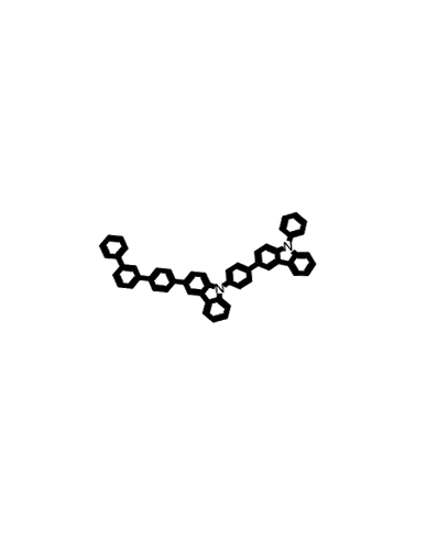 c1ccc(-c2cccc(-c3ccc(-c4ccc5c(c4)c4ccccc4n5-c4ccc(-c5ccc6c(c5)c5ccccc5n6-c5ccccc5)cc4)cc3)c2)cc1